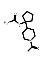 CC(=O)N1CCC(C2(NC(N)=O)CCCC2)CC1